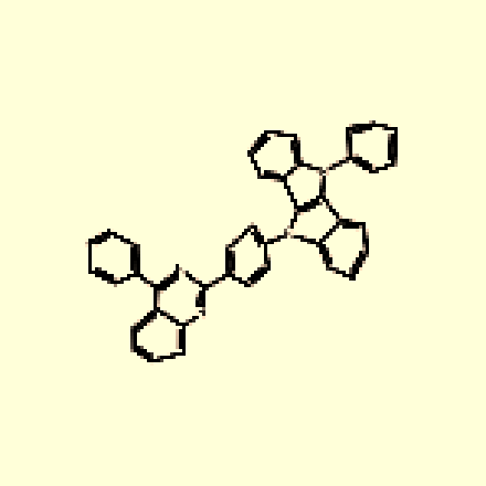 c1ccc(-c2nc(-c3ccc(-n4c5ccccc5c5c4c4ccccc4n5-c4ccccc4)cc3)nc3ccccc23)cc1